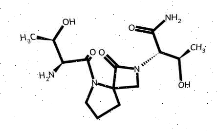 C[C@@H](O)[C@H](N)C(=O)N1CCCC12CN([C@H](C(N)=O)[C@@H](C)O)C2=O